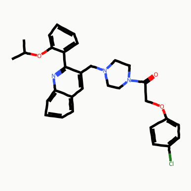 CC(C)Oc1ccccc1-c1nc2ccccc2cc1CN1CCN(C(=O)COc2ccc(Cl)cc2)CC1